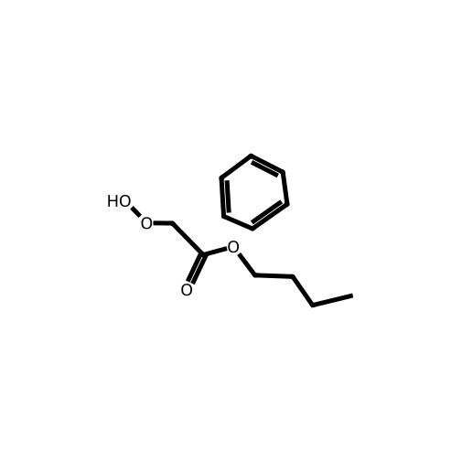 CCCCOC(=O)COO.c1ccccc1